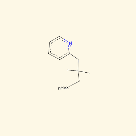 CCCCCCCC(C)(C)Cc1ccccn1